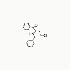 O=C(c1ccccc1)C(CCCl)NCc1ccccc1